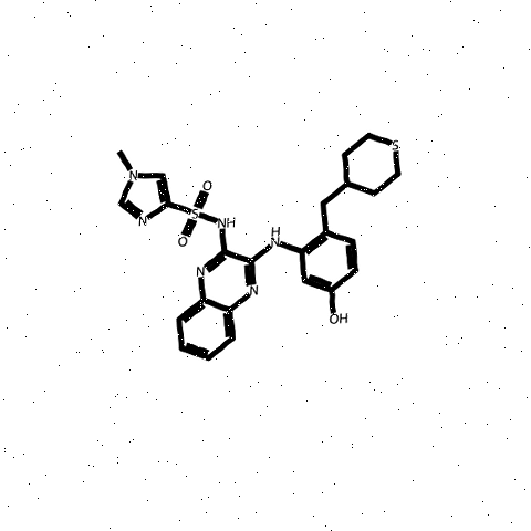 Cn1cnc(S(=O)(=O)Nc2nc3ccccc3nc2Nc2cc(O)ccc2CC2CCSCC2)c1